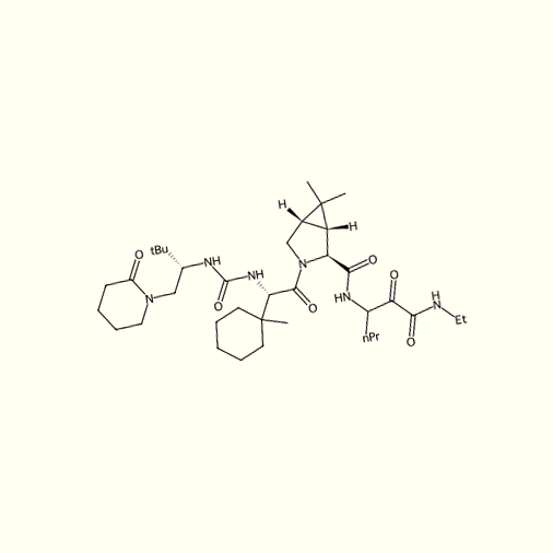 CCCC(NC(=O)[C@@H]1[C@@H]2[C@H](CN1C(=O)[C@@H](NC(=O)N[C@H](CN1CCCCC1=O)C(C)(C)C)C1(C)CCCCC1)C2(C)C)C(=O)C(=O)NCC